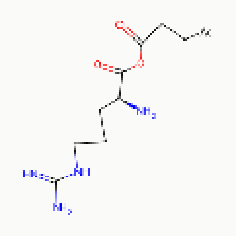 CC(=O)CCC(=O)OC(=O)[C@@H](N)CCCNC(=N)N